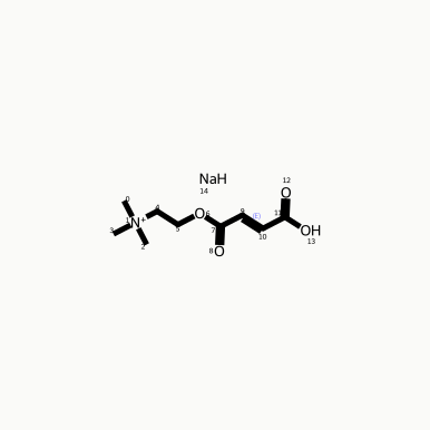 C[N+](C)(C)CCOC(=O)/C=C/C(=O)O.[NaH]